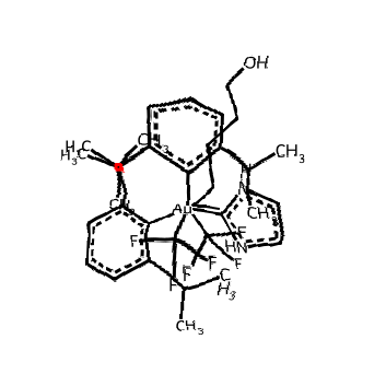 CC(C)c1cccc(C(C)C)[c]1[Au]([CH2]CCCO)([c]1c(C(C)C)cccc1C(C)C)(=[c]1[nH]cc[nH]1)([C](F)(F)F)[C](F)(F)F